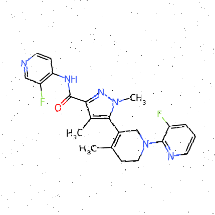 CC1=C(c2c(C)c(C(=O)Nc3ccncc3F)nn2C)CN(c2ncccc2F)CC1